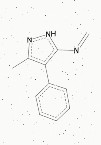 C=Nc1[nH]nc(C)c1-c1ccccc1